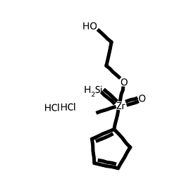 Cl.Cl.[CH3][Zr](=[O])(=[SiH2])([O]CCO)[C]1=CC=CC1